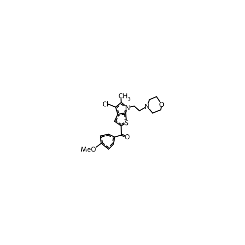 COc1ccc(C(=O)c2cc3c(Cl)c(C)n(CCN4CCOCC4)c3s2)cc1